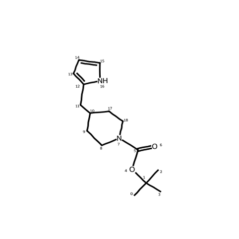 CC(C)(C)OC(=O)N1CCC(Cc2ccc[nH]2)CC1